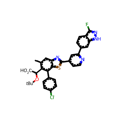 Cc1cc2nc(-c3ccnc(-c4ccc5c(F)n[nH]c5c4)c3)sc2c(-c2ccc(Cl)cc2)c1C(OC(C)(C)C)C(=O)O